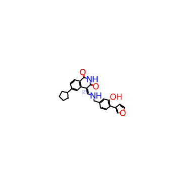 O=C1NC(=O)c2ccc(C3CCCC3)cc2/C1=C/NCc1ccc(-c2ccoc2)c(O)c1